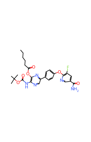 CCCCCC(=O)Oc1nc(-c2ccc(Oc3ncc(C(N)=O)cc3F)cc2)cnc1NC(=O)OC(C)(C)C